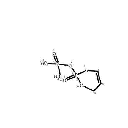 CP(=O)(O)OP1(=O)OC=CCO1